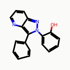 Oc1ccccc1-n1nc2cccnc2c1-c1ccccc1